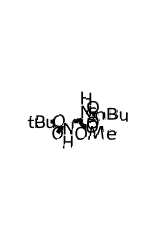 CCCCS(=O)(=O)NC(CNC(=O)OC(C)(C)C)C(=O)OC